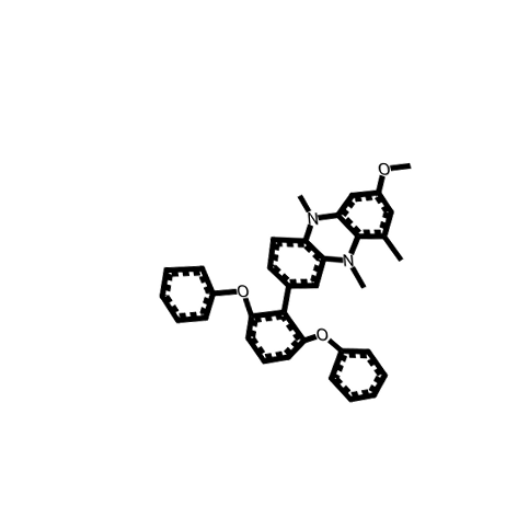 COc1cc(C)c2c(c1)N(C)c1ccc(-c3c(Oc4ccccc4)cccc3Oc3ccccc3)cc1N2C